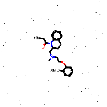 COc1ccccc1OCCN(C)CC1CCc2ccccc2N1C(=O)CC(C)(C)C